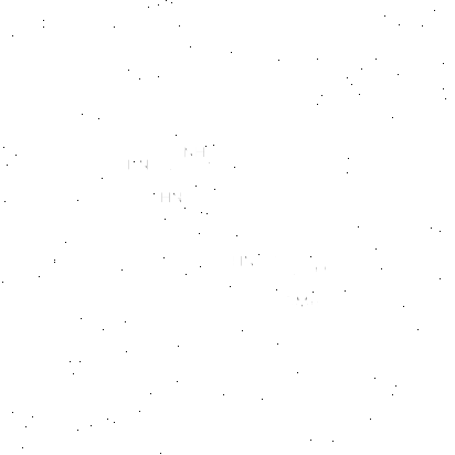 COC(=O)c1cc2ccc(NC(=N)N)cc2[nH]1